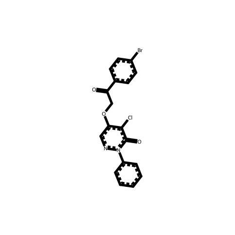 O=C(COc1cnn(-c2ccccc2)c(=O)c1Cl)c1ccc(Br)cc1